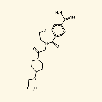 N=C(N)c1ccc2c(c1)OCCN(CC(=O)N1CCC(OCC(=O)O)CC1)C2=O